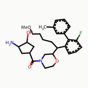 COCCCCC(c1cccc(F)c1-c1cccc(C)c1)C1CN(C(=O)C2CC(N)C(O)C2)CCO1